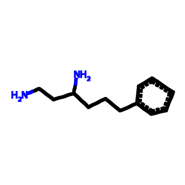 NCCC(N)CCCc1ccccc1